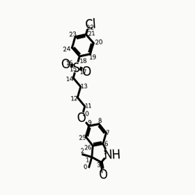 CC1(C)C(=O)Nc2ccc(OCCCCS(=O)(=O)c3ccc(Cl)cc3)cc21